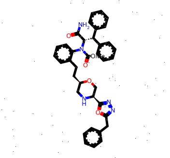 COC(=O)N(c1ccccc1CC[C@@H]1CN[C@H](c2nnc(Cc3ccccc3)o2)CO1)[C@H](C(N)=O)C(c1ccccc1)c1ccccc1